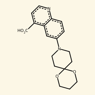 O=C(O)c1ccnc2ccc(N3CCC4(CC3)OCCCO4)cc12